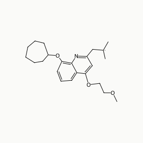 COCCOc1cc(C[C](C)C)nc2c(OC3CCCCCC3)cccc12